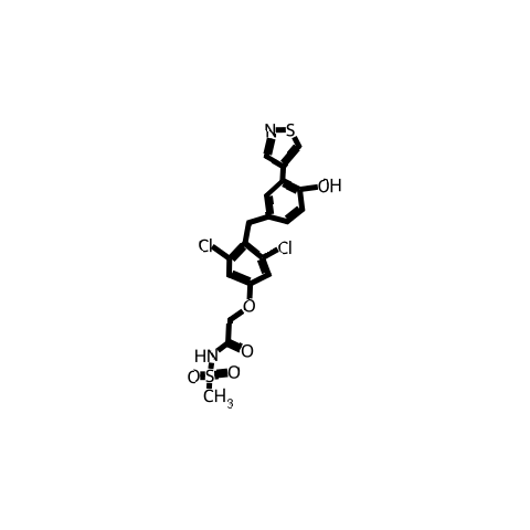 CS(=O)(=O)NC(=O)COc1cc(Cl)c(Cc2ccc(O)c(-c3cnsc3)c2)c(Cl)c1